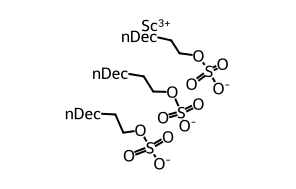 CCCCCCCCCCCCOS(=O)(=O)[O-].CCCCCCCCCCCCOS(=O)(=O)[O-].CCCCCCCCCCCCOS(=O)(=O)[O-].[Sc+3]